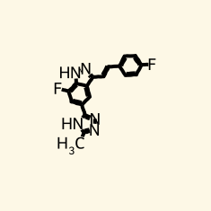 Cc1nnc(-c2cc(F)c3[nH]nc(C=Cc4ccc(F)cc4)c3c2)[nH]1